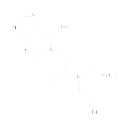 NCCN(CC(=O)O)C(=O)Cn1cnc2ncnc-2c1N